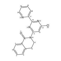 O=C1c2ccccc2CCN1c1cc(Cl)nc(-c2ccccn2)n1